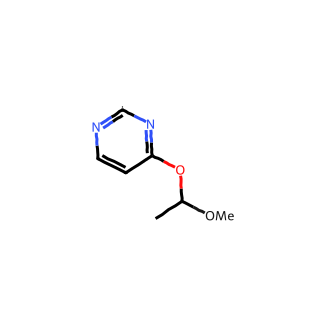 COC(C)Oc1ccn[c]n1